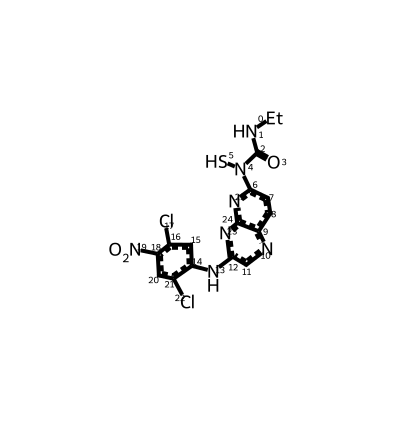 CCNC(=O)N(S)c1ccc2ncc(Nc3cc(Cl)c([N+](=O)[O-])cc3Cl)nc2n1